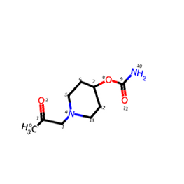 CC(=O)CN1CCC(OC(N)=O)CC1